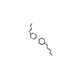 CCCCCC1CCC([C@H]2CC[C@](C)(CCCC)CC2)CC1